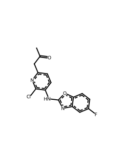 CC(=O)Cc1ccc(Nc2nc3cc(F)ccc3o2)c(Cl)n1